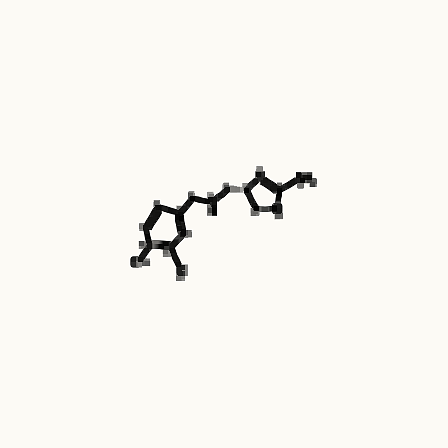 NC1=N[C@@H](CNCc2ccc(Cl)c(Cl)c2)CO1